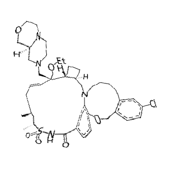 CCO[C@@]1(CN2CCN3CCOC[C@@H]3C2)/C=C/C[C@H](C)[C@@H](C)S(=O)(=O)NC(=O)c2ccc3c(c2)N(CCCCc2cc(Cl)ccc2CO3)C[C@@H]2CC[C@H]21